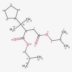 CC(C)COC(=O)CC(C(=O)OCC(C)C)C(C)(C)C1CCCC1